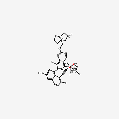 CC(C)[Si](C#Cc1c(F)ccc2cc(O)cc(-c3nc(N4CC[C@@H](F)[C@@H]4C)c4cnc(OC[C@@]56CCCN5C[C@H](F)C6)nc4c3F)c12)(C(C)C)C(C)C